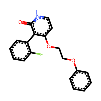 O=c1[nH]ccc(OCCOc2ccccc2)c1-c1ccccc1F